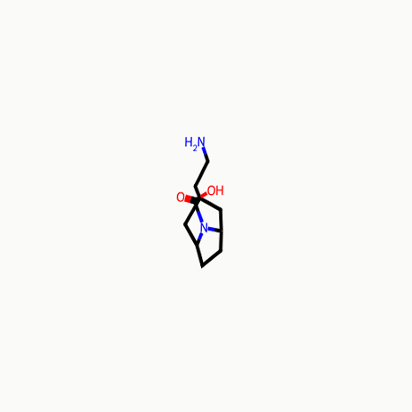 NCCC1CC2CCC(C1)N2C(=O)O